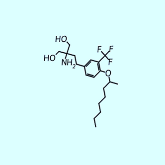 CCCCCCC(C)Oc1ccc(CCC(N)(CO)CO)cc1C(F)(F)F